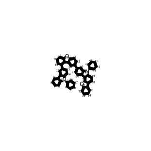 c1ccc(-n2c3ccccc3c3cc(-c4cccc5oc6ccc(-c7ccc8c9c%10oc%11ccccc%11c%10ccc9n(-c9ccccc9)c8c7)cc6c45)ccc32)cc1